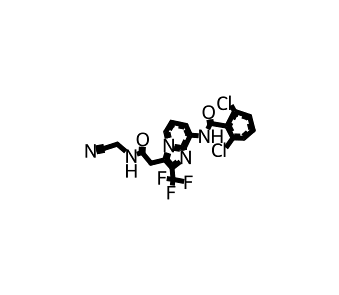 N#CCNC(=O)Cc1c(C(F)(F)F)nc2c(NC(=O)c3c(Cl)cccc3Cl)cccn12